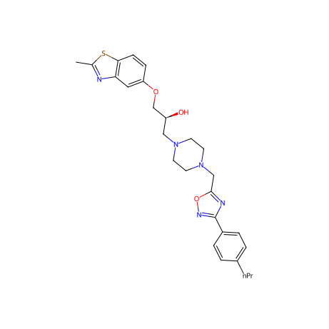 CCCc1ccc(-c2noc(CN3CCN(C[C@H](O)COc4ccc5sc(C)nc5c4)CC3)n2)cc1